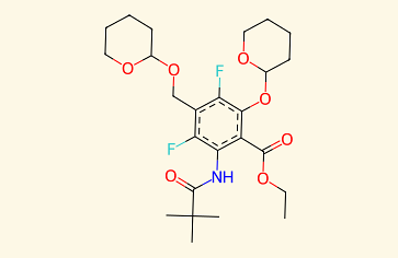 CCOC(=O)c1c(NC(=O)C(C)(C)C)c(F)c(COC2CCCCO2)c(F)c1OC1CCCCO1